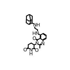 Cc1nc2cccc(NCCNC3C4CC5CC(C4)CC3C5)c2c(=O)n1C1CCC(=O)NC1=O